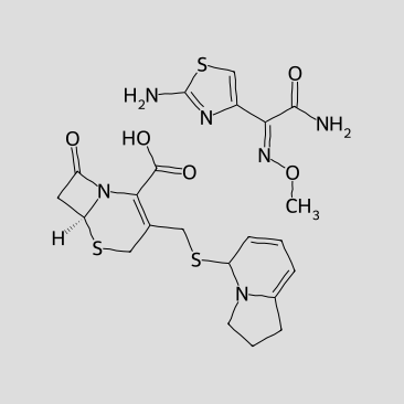 CO/N=C(\C(N)=O)c1csc(N)n1.O=C(O)C1=C(CSC2C=CC=C3CCCN32)CS[C@H]2CC(=O)N12